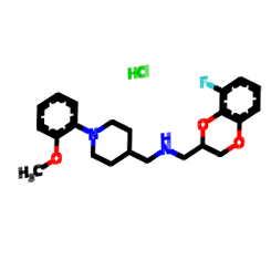 COc1ccccc1N1CCC(CNCC2COc3cccc(F)c3O2)CC1.Cl